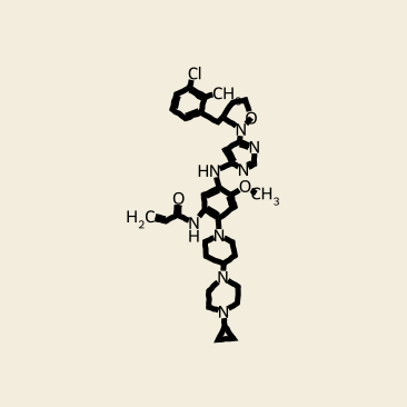 C=CC(=O)Nc1cc(Nc2cc(N3OCCC3Cc3cccc(Cl)c3C)ncn2)c(OC)cc1N1CCC(N2CCN(C3CC3)CC2)CC1